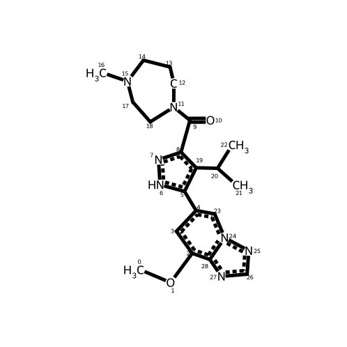 COc1cc(-c2[nH]nc(C(=O)N3CCCN(C)CC3)c2C(C)C)cn2ncnc12